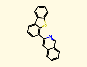 c1ccc2cc(-c3cccc4c3sc3ccccc34)ncc2c1